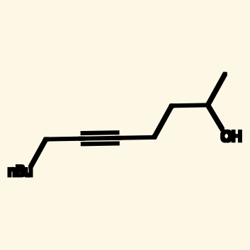 CCCCCC#CCCC(C)O